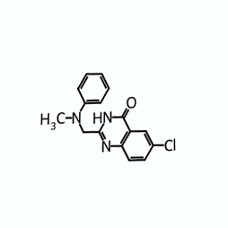 CN(Cc1nc2ccc(Cl)cc2c(=O)[nH]1)c1ccccc1